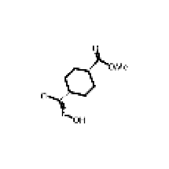 COC(=O)[C@H]1CC[C@H](/C(Cl)=N\O)CC1